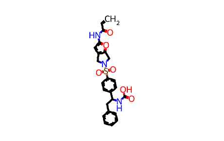 C=CC(=O)Nc1cc2c(o1)CN(S(=O)(=O)c1ccc(C(Cc3ccccc3)NC(=O)O)cc1)C2